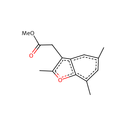 COC(=O)Cc1c(C)oc2c(C)cc(C)cc12